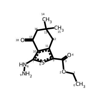 CCOC(=O)c1sc(NN)c2c1CC(C)(C)CC2=O